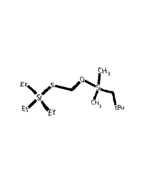 CC[Si](CC)(CC)SCO[Si](C)(C)CC(C)(C)C